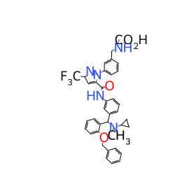 CN(C1CC1)C(c1cccc(NC(=O)c2cc(C(F)(F)F)nn2-c2cccc(CNC(=O)O)c2)c1)c1ccccc1OCc1ccccc1